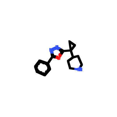 c1ccc(-c2nnc(C3(C4CCNCC4)CC3)o2)cc1